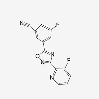 N#Cc1cc(F)cc(-c2nc(-c3ncccc3F)no2)c1